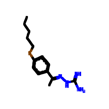 CCCCCSc1ccc(C(C)=NNC(=N)N)cc1